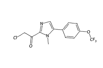 Cn1c(-c2ccc(OC(F)(F)F)cc2)cnc1C(=O)CCl